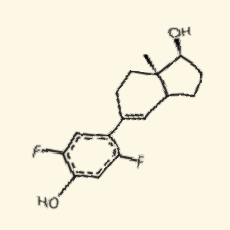 C[C@]12CCC(c3cc(F)c(O)cc3F)=CC1CC[C@@H]2O